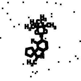 CC1=Nc2ccc(B3OC(C)(C)C(C)(C)O3)c(F)c2C12CCCC2